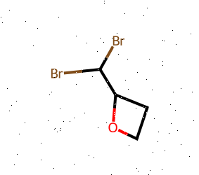 BrC(Br)C1CCO1